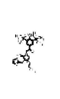 CCC[C@H]1CN(CC(=O)c2cc(C(C)(C)C)c(O)c(C(C)(C)C)c2)C(=N)[C@@H]1Cc1nccs1